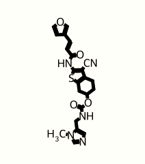 Cn1cncc1CNC(=O)OC1CCc2c(sc(NC(=O)C=Cc3ccoc3)c2C#N)C1